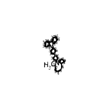 CC1/C=C\C=C/Cc2ccccc2N1c1ccc(-c2ccc(-n3c4ccccc4c4ccccc43)cc2)cc1